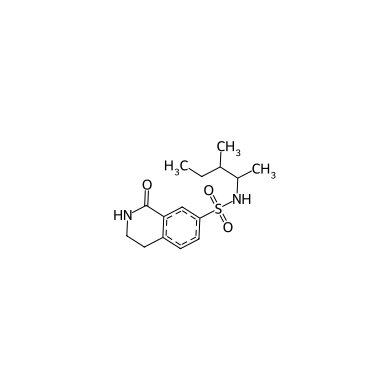 CCC(C)C(C)NS(=O)(=O)c1ccc2c(c1)C(=O)NCC2